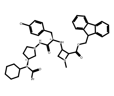 CC(C)C(=O)N(C1CCCCC1)[C@H]1CCN(NC(=O)[C@@H](Cc2ccc(Cl)cc2)NC2CN(C)C2C(=O)OCC2c3ccccc3-c3ccccc32)C1